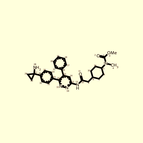 COC(=O)N(C)C1CCC(CC(=O)Nc2cc(-c3ccccc3)c(-c3ccc(C4(N)CC4)cc3)nn2)CC1